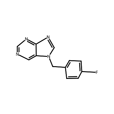 Fc1ccc(Cn2cnc3ncncc32)cc1